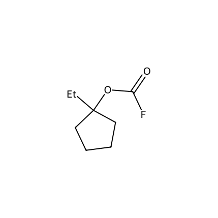 CCC1(OC(=O)F)CCCC1